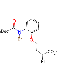 CCCCCCCCCCC(=O)N(Br)c1ccccc1OCCC(CC)C(=O)O